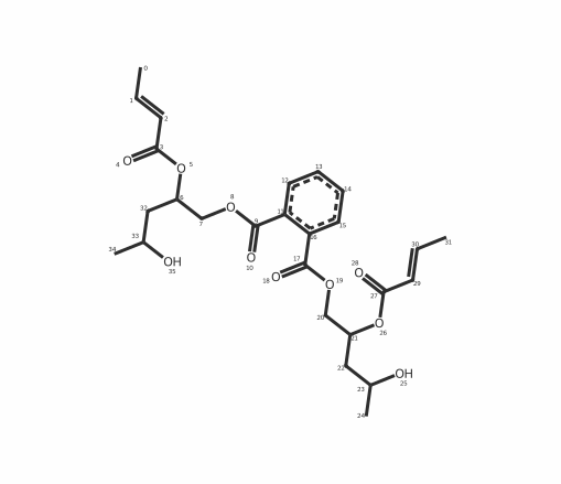 CC=CC(=O)OC(COC(=O)c1ccccc1C(=O)OCC(CC(C)O)OC(=O)C=CC)CC(C)O